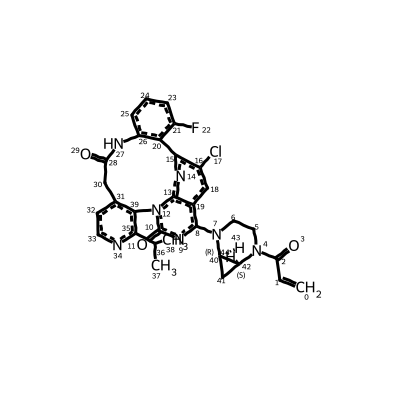 C=CC(=O)N1CCN(c2nc(=O)n3c4nc(c(Cl)cc24)-c2c(F)cccc2NC(=O)Cc2ccnc(C(C)C)c2-3)[C@@H]2C[C@@H]21